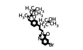 CC(C)(C)O.CN(Cc1ccc(CCCn2cnc3ccc(Br)cc3c2=O)cc1)C(=O)OC(C)(C)C